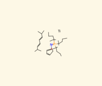 CC(C)C=CC=CC(C)C.CCCC(C)(C)P(=NC1=CC=CC1)(C(C)(C)CCC)C(C)(C)CCC.[Ti]